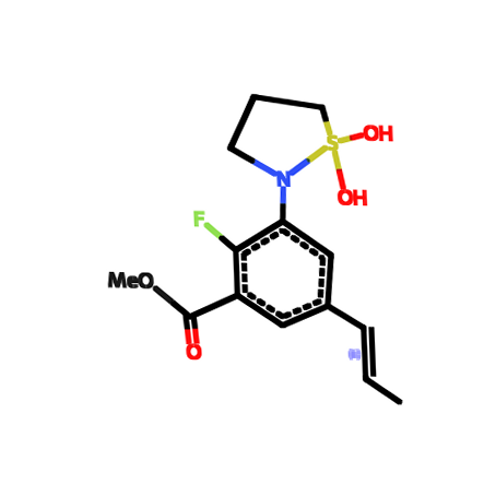 C/C=C/c1cc(C(=O)OC)c(F)c(N2CCCS2(O)O)c1